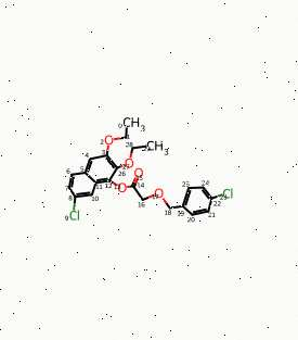 CCOc1cc2ccc(Cl)cc2c(OC(=O)COCc2ccc(Cl)cc2)c1OCC